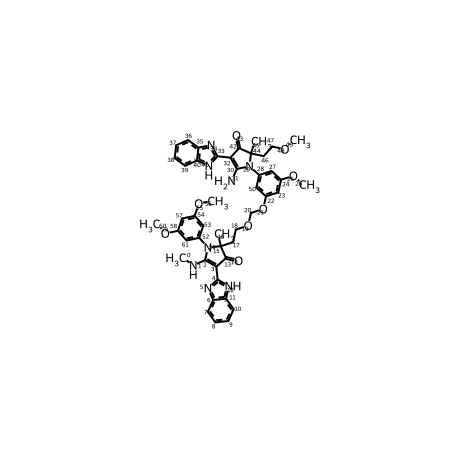 CNC1=C(c2nc3ccccc3[nH]2)C(=O)C(C)(CCOCOc2cc(OC)cc(N3C(N)=C(c4nc5ccccc5[nH]4)C(=O)C3(C)CCOC)c2)N1c1cc(OC)cc(OC)c1